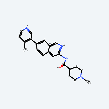 Cc1ccncc1-c1ccc2cc(NC(=O)C3CCN(C)CC3)ncc2c1